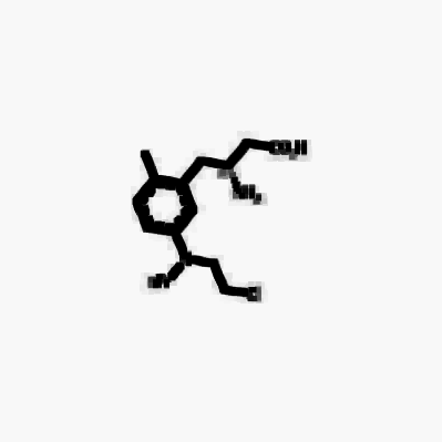 CCCN(CCCl)c1ccc(C)c(C[C@@H](N)CC(=O)O)c1